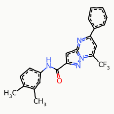 Cc1ccc(NC(=O)c2cc3nc(-c4ccccc4)cc(C(F)(F)F)n3n2)cc1C